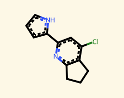 Clc1cc(-c2ccc[nH]2)nc2c1CCC2